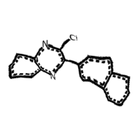 Clc1nc2ccccc2nc1-c1ccc2ccccc2c1